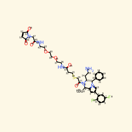 CC(C)(C)[C@H](c1cc(-c2cc(F)ccc2F)cn1Cc1ccccc1)N(CCCN)C(=O)CSCCC(=O)NCCOCCOCCNC(=O)CN1C(=O)C=CC1=O